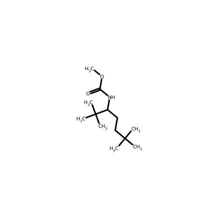 COC(=O)NC(CCC(C)(C)C)C(C)(C)C